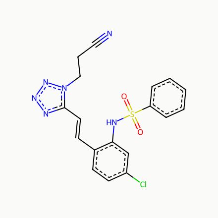 N#CCCn1nnnc1C=Cc1ccc(Cl)cc1NS(=O)(=O)c1ccccc1